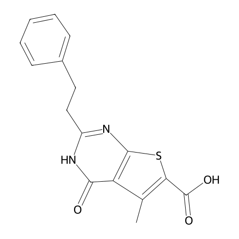 Cc1c(C(=O)O)sc2nc(CCc3ccccc3)[nH]c(=O)c12